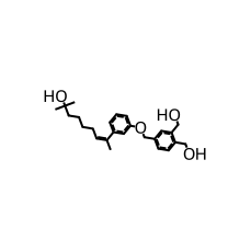 C/C(=C/CCCCC(C)(C)O)c1cccc(OCc2ccc(CO)c(CO)c2)c1